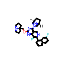 Fc1ccc2cccc(-c3ncc4c(N5C[C@H]6CC[C@@H](C5)N6)nc(OCC56CCCN5CCC6)nc4c3F)c2c1